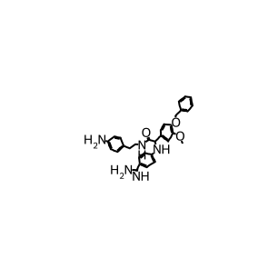 COc1cc(C(Nc2ccc(C(=N)N)cc2)C(=O)NCCc2ccc(N)cc2)ccc1OCc1ccccc1